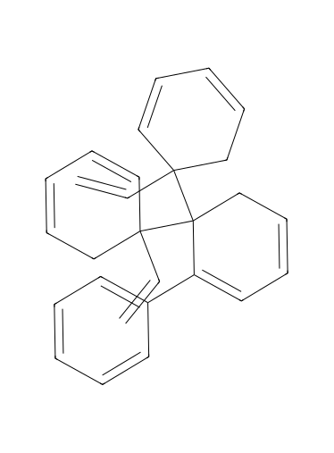 C=CC1(C2(C3(C=C)C=CC=CC3)CC=CC=C2c2ccccc2)C=CC=CC1